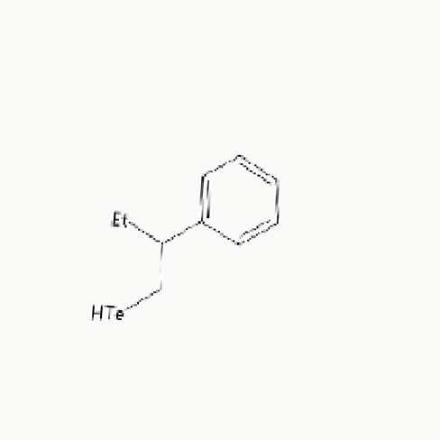 CCC(C[TeH])c1ccccc1